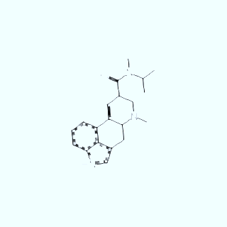 CC(C)N(C)C(=O)C1C=C2c3cccc4[nH]cc(c34)CC2N(C)C1